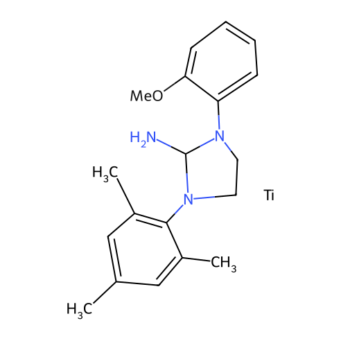 COc1ccccc1N1CCN(c2c(C)cc(C)cc2C)C1N.[Ti]